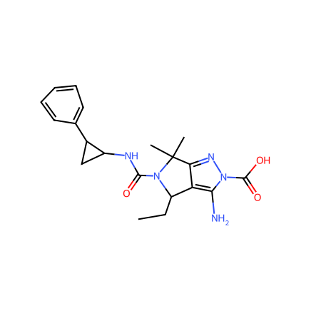 CCC1c2c(nn(C(=O)O)c2N)C(C)(C)N1C(=O)NC1CC1c1ccccc1